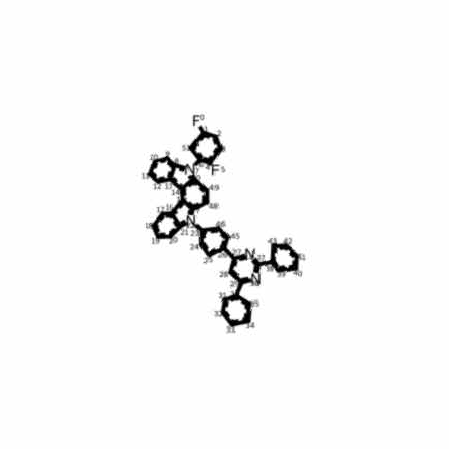 Fc1ccc(F)c(-n2c3ccccc3c3c4c5ccccc5n(-c5ccc(-c6cc(-c7ccccc7)nc(-c7ccccc7)n6)cc5)c4ccc32)c1